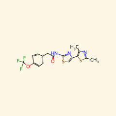 Cc1nc(C)c(-c2csc(NC(=O)Cc3ccc(OC(F)(F)F)cc3)n2)s1